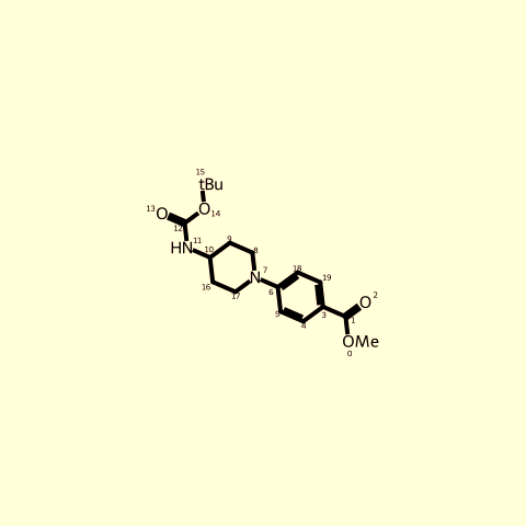 COC(=O)c1ccc(N2CCC(NC(=O)OC(C)(C)C)CC2)cc1